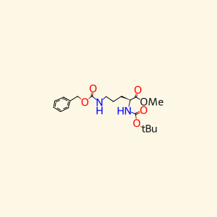 COC(=O)[C@H](CCCNC(=O)OCc1ccccc1)NC(=O)OC(C)(C)C